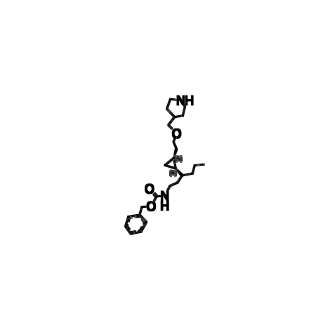 CCCC(CCNC(=O)OCc1ccccc1)[C@H]1C[C@H]1CCOCC1CCNCC1